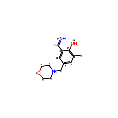 Cc1cc(CN2CCOCC2)cc(C=N)c1O